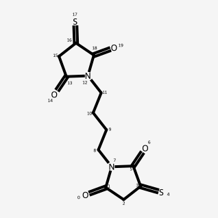 O=C1CC(=S)C(=O)N1CCCCN1C(=O)CC(=S)C1=O